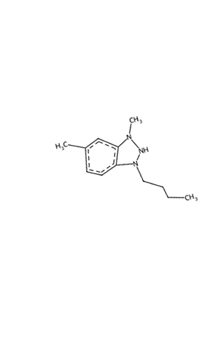 CCCCN1NN(C)c2cc(C)ccc21